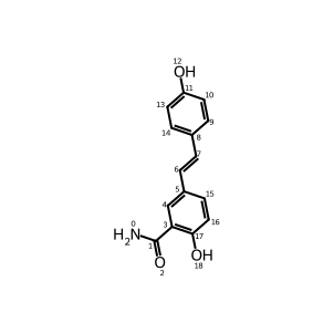 NC(=O)c1cc(/C=C/c2ccc(O)cc2)ccc1O